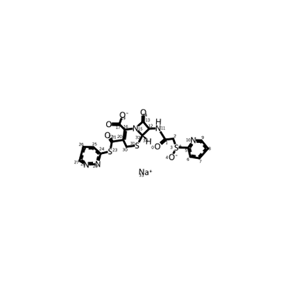 O=C(C[S+]([O-])c1ccccn1)NC1C(=O)N2C(C(=O)[O-])=C(C(=O)Sc3cccnn3)CS[C@@H]12.[Na+]